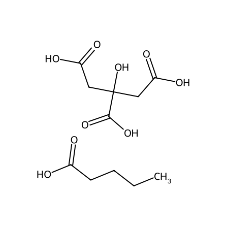 CCCCC(=O)O.O=C(O)CC(O)(CC(=O)O)C(=O)O